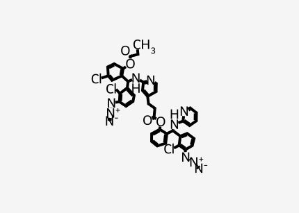 CCC(=O)Oc1ccc(Cl)cc1C(Nc1cc(CCC(=O)Oc2ccccc2C(Nc2ccccn2)c2cccc(N=[N+]=[N-])c2Cl)ccn1)c1cccc(N=[N+]=[N-])c1Cl